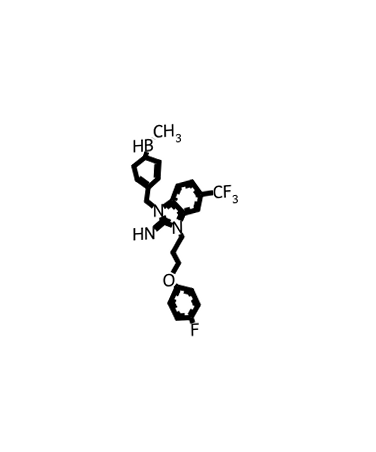 CBC1C=CC(Cn2c(=N)n(CCCOc3ccc(F)cc3)c3cc(C(F)(F)F)ccc32)=CC1